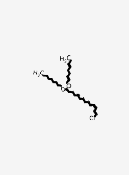 CCCCCCCCCOC(CCCCCCCCC/C=C\CCCl)OCCCCCCCCC